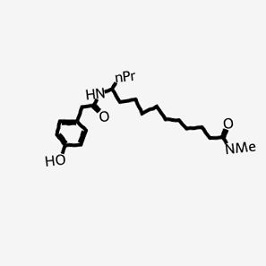 CCCC(CCCCCCCCCC(=O)NC)NC(=O)Cc1ccc(O)cc1